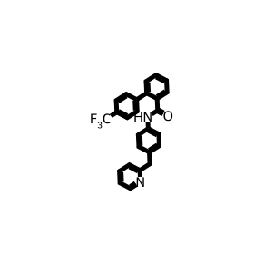 O=C(Nc1ccc(Cc2ccccn2)cc1)c1ccccc1-c1ccc(C(F)(F)F)cc1